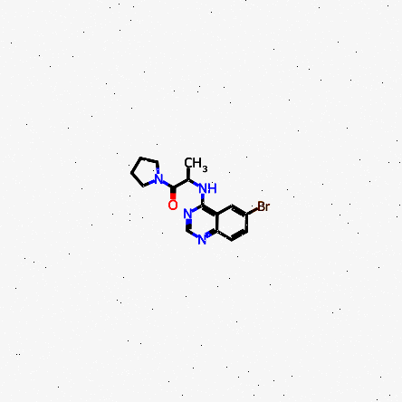 CC(Nc1ncnc2ccc(Br)cc12)C(=O)N1CCCC1